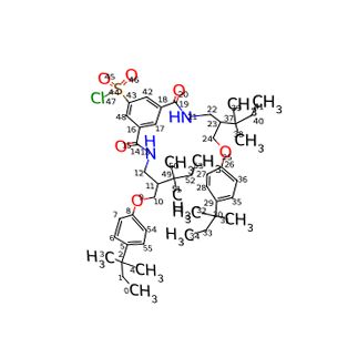 CCC(C)(C)c1ccc(OCC(CNC(=O)c2cc(C(=O)NCC(COc3ccc(C(C)(C)CC)cc3)C(C)(C)CC)cc(S(=O)(=O)Cl)c2)C(C)(C)CC)cc1